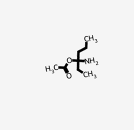 CCCC(N)(CC)OC(C)=O